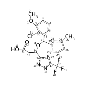 COc1cccc([C@H]2O[C@H](CC(=O)O)c3nnc(C(F)(F)F)n3-c3ccc(C)cc32)c1Cl